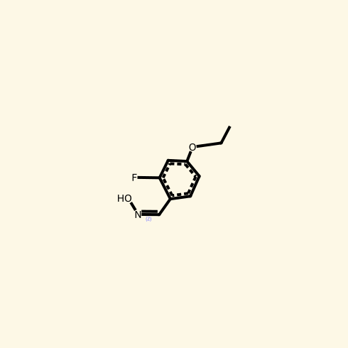 CCOc1ccc(/C=N\O)c(F)c1